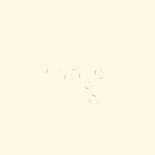 O=C(O)CCNC(=O)c1ccc(CC(c2ccc(OC(F)(F)F)cc2)c2nc(-c3ccc(Cl)c(Cl)c3)cs2)cc1